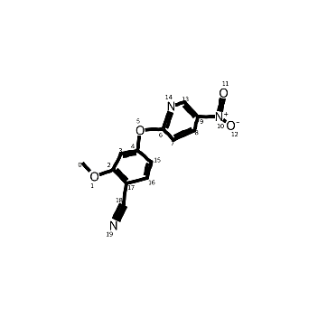 COc1cc(Oc2ccc([N+](=O)[O-])cn2)ccc1C#N